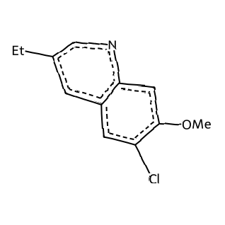 CCc1cnc2cc(OC)c(Cl)cc2c1